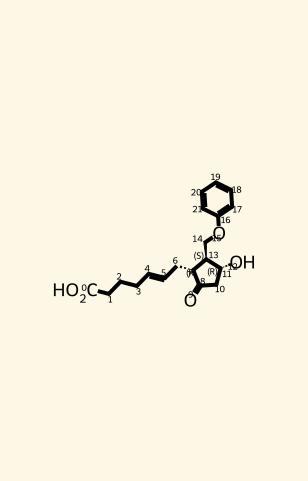 O=C(O)CCCC=CC[C@H]1C(=O)C[C@@H](O)[C@@H]1COc1ccccc1